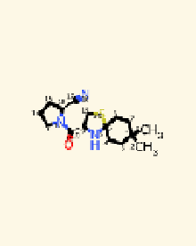 CC1(C)CCC2(CC1)N[C@H](C(=O)N1CCC[C@H]1C#N)CS2